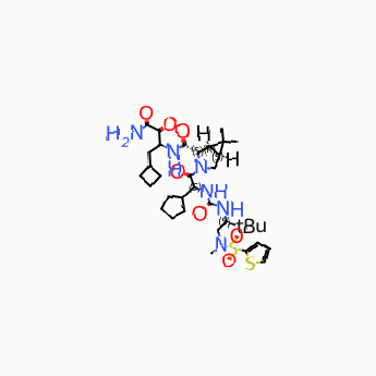 CN(C[C@@H](NC(=O)N[C@H](C(=O)N1C[C@H]2[C@@H]([C@H]1C(=O)NC(CC1CCC1)C(=O)C(N)=O)C2(C)C)C1CCCC1)C(C)(C)C)S(=O)(=O)c1cccs1